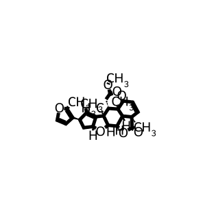 COC(=O)C[C@H]1[C@]2(C)C3=C(C)[C@H](c4ccoc4C)C[C@H]3O[C@H]2[C@@H]2OC(=O)[C@]3(C)C=CC(=O)[C@@]1(C)[C@@H]23